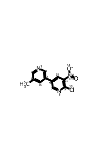 Cc1cncc(-c2cnc(Cl)c([N+](=O)[O-])c2)c1